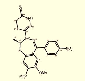 COc1cc2c(cc1OC)C(c1ccc([N+](=O)[O-])cc1)=NN(C1=NNC(=O)CS1)[C@H](C)C2